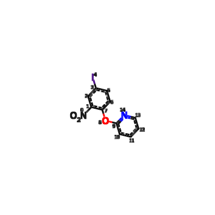 O=[N+]([O-])c1cc(I)ccc1Oc1ccccn1